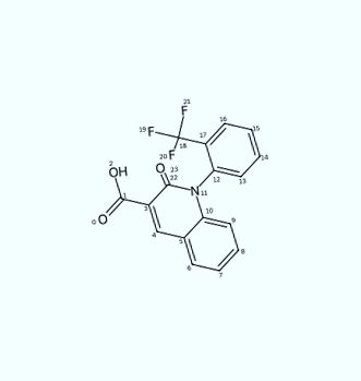 O=C(O)c1cc2ccccc2n(-c2ccccc2C(F)(F)F)c1=O